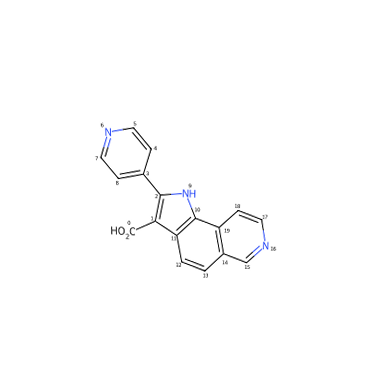 O=C(O)c1c(-c2ccncc2)[nH]c2c1ccc1cnccc12